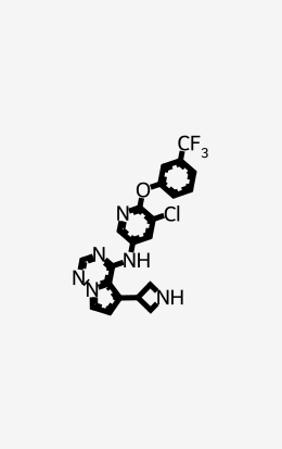 FC(F)(F)c1cccc(Oc2ncc(Nc3ncnn4ccc(C5CNC5)c34)cc2Cl)c1